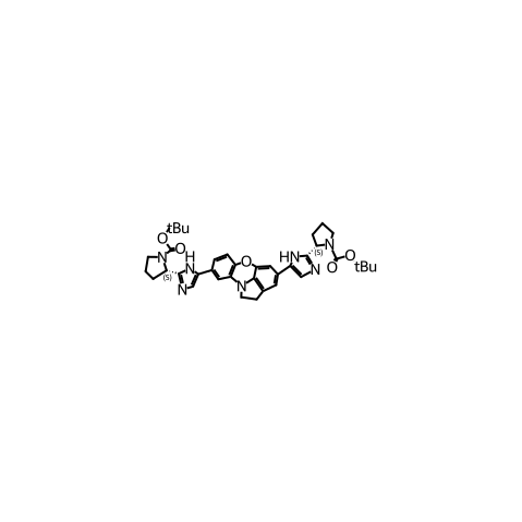 CC(C)(C)OC(=O)N1CCC[C@H]1c1ncc(-c2cc3c4c(c2)Oc2ccc(-c5cnc([C@@H]6CCCN6C(=O)OC(C)(C)C)[nH]5)cc2N4CC3)[nH]1